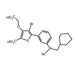 CC(=O)N(CC1CCCCC1)c1cccc(-c2sc(C(=O)O)c(OCC(=O)O)c2Br)c1